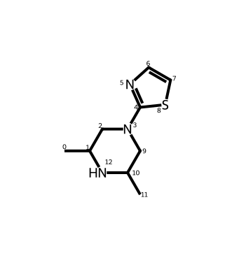 CC1CN(c2nccs2)CC(C)N1